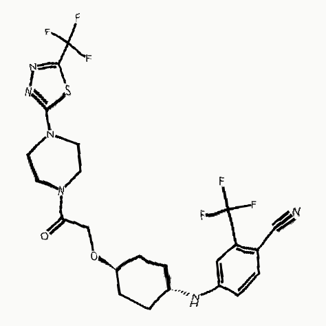 N#Cc1ccc(N[C@H]2CC[C@H](OCC(=O)N3CCN(c4nnc(C(F)(F)F)s4)CC3)CC2)cc1C(F)(F)F